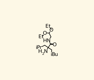 CCOC(CNC(=O)C(N)(CC(C)C)CC(C)CC)OCC